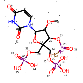 COC1[C@H](n2ccc(=O)[nH]c2=O)OC(COP(=O)(O)O)(COP(=O)(O)O)[C@@H]1O[PH](=O)S